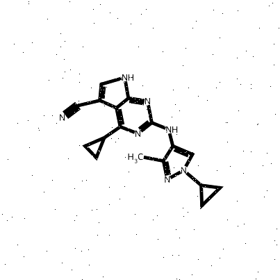 Cc1nn(C2CC2)cc1Nc1nc(C2CC2)c2c(C#N)c[nH]c2n1